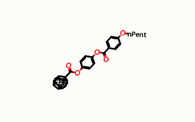 CCCCCOc1ccc(C(=O)Oc2ccc(OC(=O)[C]34[CH]5[CH]6[CH]7[CH]3[Fe]6754389%10[CH]4[CH]3[CH]8[CH]9[CH]4%10)cc2)cc1